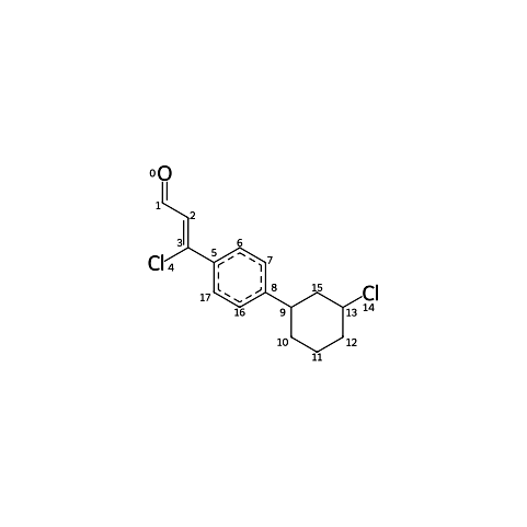 O=CC=C(Cl)c1ccc(C2CCCC(Cl)C2)cc1